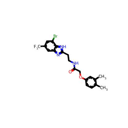 Cc1ccc(OCC(=O)NCCc2nc3cc(C(F)(F)F)cc(Br)c3[nH]2)cc1C